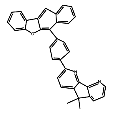 CC1(C)c2cccnc2-c2nc(-c3ccc(-c4c5ccccc5cc5c4oc4ccccc45)cc3)ccc21